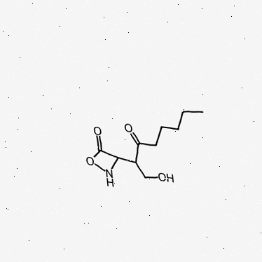 CCCCCC(=O)C(CO)C1NOC1=O